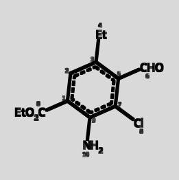 CCOC(=O)c1cc(CC)c(C=O)c(Cl)c1N